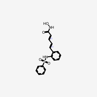 O=C(/C=C/C=C/c1ccccc1NS(=O)(=O)c1ccccc1)NO